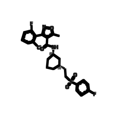 Cc1onc(-c2c(F)cccc2Cl)c1C(=O)N[C@H]1CCC[C@@H](CCS(=O)(=O)c2ccc(F)cc2)C1